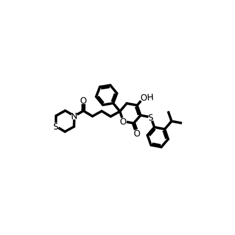 CC(C)c1ccccc1SC1=C(O)CC(CCCC(=O)N2CCSCC2)(c2ccccc2)OC1=O